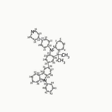 CC1(C)c2ccccc2N(c2ccc(-c3ccncc3)cc2)c2ccc(-c3ccc4c(c3)c3ccccc3n4-c3ccccc3)cc21